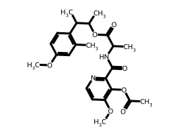 COc1ccc(C(C)C(C)OC(=O)C(C)NC(=O)c2nccc(OC)c2OC(C)=O)c(C)c1